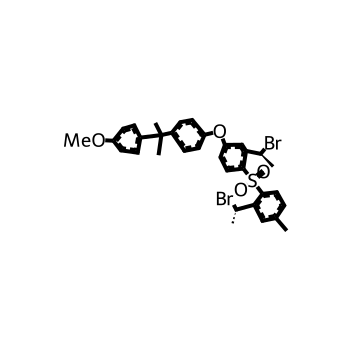 COc1ccc(C(C)(C)c2ccc(Oc3ccc(S(=O)(=O)c4ccc(C)cc4[C@H](C)Br)c([C@H](C)Br)c3)cc2)cc1